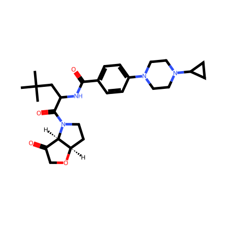 CC(C)(C)CC(NC(=O)c1ccc(N2CCN(C3CC3)CC2)cc1)C(=O)N1CC[C@H]2OCC(=O)[C@H]21